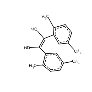 Cc1ccc(C)c(/C(O)=C(/O)c2cc(C)ccc2C)c1